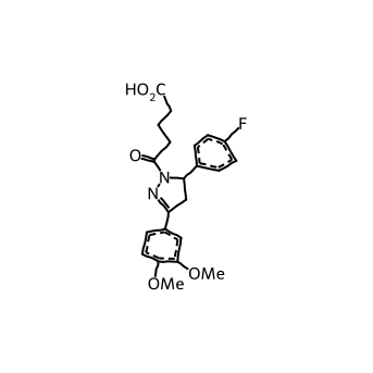 COc1ccc(C2=NN(C(=O)CCCC(=O)O)C(c3ccc(F)cc3)C2)cc1OC